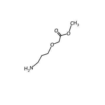 COC(=O)COCCCN